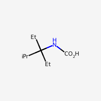 CCC(CC)(NC(=O)O)C(C)C